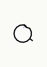 CC1CCC/C=C/CCCCCCCCC1